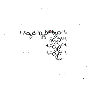 Cc1ccc(N(C(=S)[S-])c2ccc(C)cc2)cc1.Cc1ccc(N(C(=S)[S-])c2ccc(C)cc2)cc1.Cc1ccc(N(C(=S)[S-])c2ccc(C)cc2)cc1.Cc1ccc(N(C(=S)[S-])c2ccc(C)cc2)cc1.Cc1ccc(N(C(=S)[S-])c2ccc(C)cc2)cc1.Cc1ccc(N(C(=S)[S-])c2ccc(C)cc2)cc1.[Mo+6]